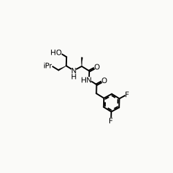 CC(C)C[C@@H](CO)N[C@@H](C)C(=O)NC(=O)Cc1cc(F)cc(F)c1